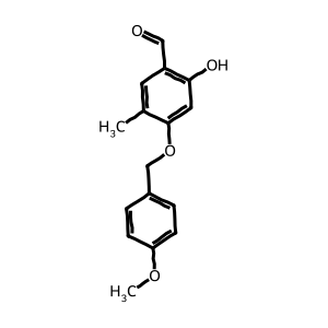 COc1ccc(COc2cc(O)c(C=O)cc2C)cc1